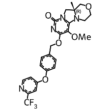 COc1c(OCc2ccc(Oc3ccnc(C(F)(F)F)c3)cc2)nc(=O)n2c1N1CCOC[C@@]1(C)C2